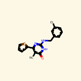 CCc1cccc(CNc2nc(-c3cccs3)c(C#N)c(=O)[nH]2)c1